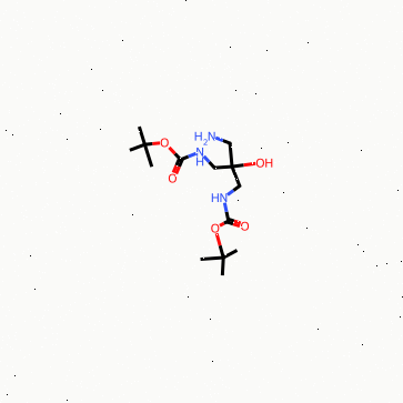 CC(C)(C)OC(=O)NCC(O)(CN)CNC(=O)OC(C)(C)C